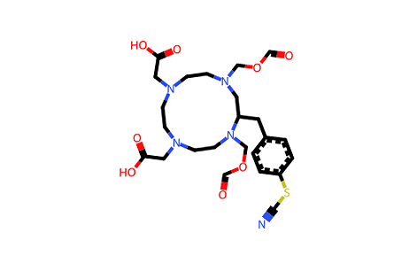 N#CSc1ccc(CC2CN(COC=O)CCN(CC(=O)O)CCN(CC(=O)O)CCN2COC=O)cc1